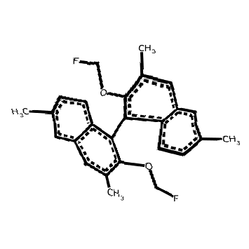 Cc1ccc2c(-c3c(OCF)c(C)cc4cc(C)ccc34)c(OCF)c(C)cc2c1